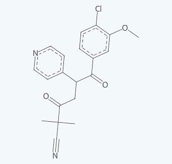 COc1cc(C(=O)C(CC(=O)C(C)(C)C#N)c2ccncc2)ccc1Cl